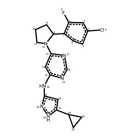 Fc1cc(Cl)ccc1C1CCCN1c1cc(Nc2cc(C3CC3)[nH]n2)ncn1